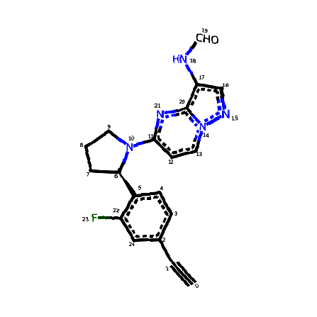 C#Cc1ccc([C@H]2CCCN2c2ccn3ncc(NC=O)c3n2)c(F)c1